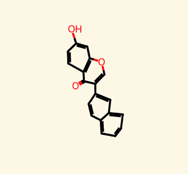 O=c1c(-c2ccc3ccccc3c2)coc2cc(O)ccc12